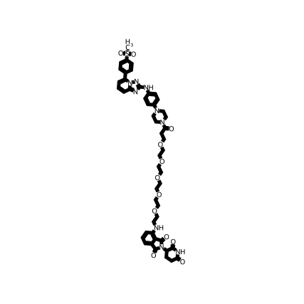 CS(=O)(=O)c1ccc(-c2cccc3nc(Nc4ccc(N5CCN(C(=O)CCOCCOCCOCCOCCOCCNc6cccc7c6C(=O)N(C6CCC(=O)NC6=O)C7=O)CC5)cc4)nn23)cc1